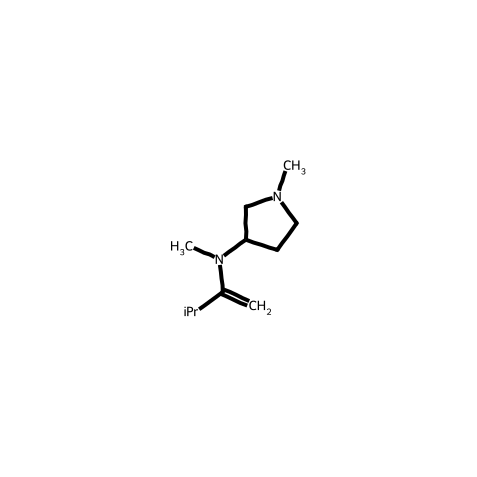 C=C(C(C)C)N(C)C1CCN(C)C1